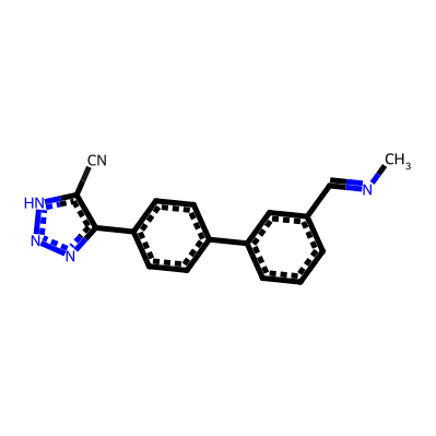 C/N=C/c1cccc(-c2ccc(-c3nn[nH]c3C#N)cc2)c1